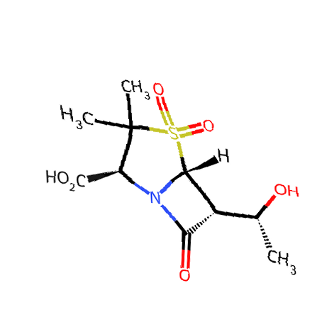 C[C@@H](O)[C@@H]1C(=O)N2[C@@H](C(=O)O)C(C)(C)S(=O)(=O)[C@H]12